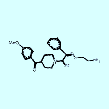 CCC(C(=NOCCN)c1ccccc1)N1CCC(C(=O)c2ccc(OC)cc2)CC1